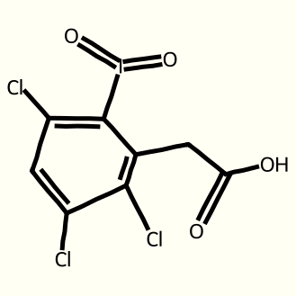 O=C(O)Cc1c(Cl)c(Cl)cc(Cl)c1I(=O)=O